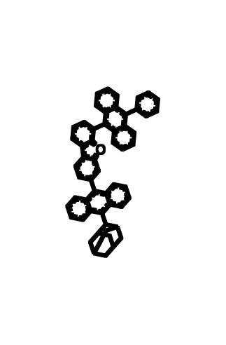 c1ccc(-c2c3ccccc3c(-c3cccc4c3oc3cc(-c5c6ccccc6c(C6C7CC8CC(C7)CC6C8)c6ccccc56)ccc34)c3ccccc23)cc1